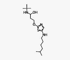 CC(C)CCCCNc1cnc(OCCC(O)NC(C)(C)C)s1